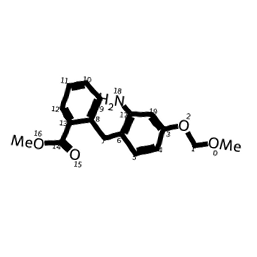 COCOc1ccc(Cc2ccccc2C(=O)OC)c(N)c1